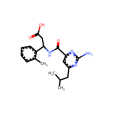 Cc1ccccc1C(CC(=O)O)NC(=O)c1cc(CC(C)C)nc(N)n1